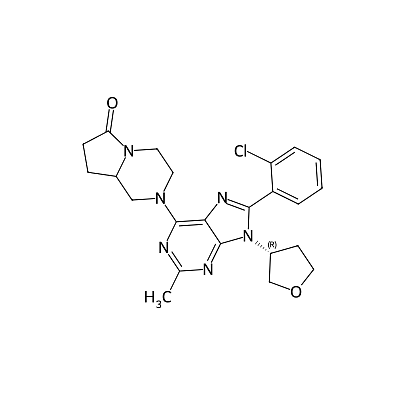 Cc1nc(N2CCN3C(=O)CCC3C2)c2nc(-c3ccccc3Cl)n([C@@H]3CCOC3)c2n1